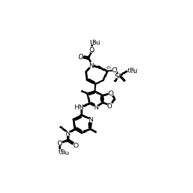 Cc1cc(N(C)C(=O)OC(C)(C)C)cc(Nc2nc3c(c(C4=CCN(C(=O)OC(C)(C)C)C[C@@H](O[Si](C)(C)C(C)(C)C)C4)c2C)OCO3)n1